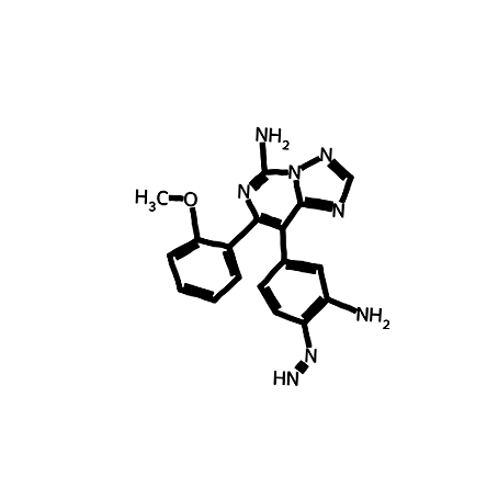 COc1ccccc1-c1nc(N)n2ncnc2c1-c1ccc(N=N)c(N)c1